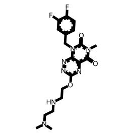 CN(C)CCNCCOc1nnc2c(n1)c(=O)n(C)c(=O)n2Cc1ccc(F)c(F)c1